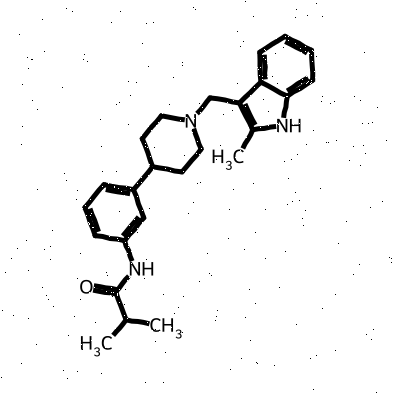 Cc1[nH]c2ccccc2c1CN1CCC(c2cccc(NC(=O)C(C)C)c2)CC1